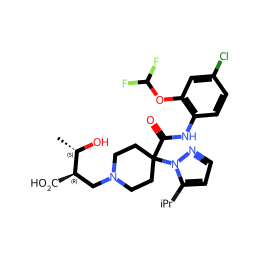 CC(C)c1ccnn1C1(C(=O)Nc2ccc(Cl)cc2OC(F)F)CCN(C[C@@H](C(=O)O)[C@H](C)O)CC1